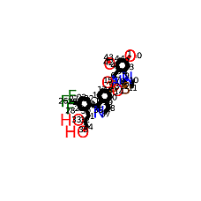 COc1ccc(CN(c2nccs2)S(=O)(=O)c2ccc3c(-c4ccc(C(F)(F)F)cc4CC(O)CO)nccc3c2)c(OC)c1